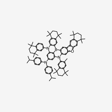 Cc1cc2c(cc1N1c3cc4oc5cc6c(cc5c4cc3B3c4cc5c(cc4N(c4ccc7c(c4)C(C)(C)CCC7(C)C)c4cc(N(c7ccc(C(C)C)cc7)c7ccc(C(C)C)cc7)cc1c43)C(C)(C)CCC5(C)C)C(C)(C)CCC6(C)C)C(C)(C)CCC2(C)C